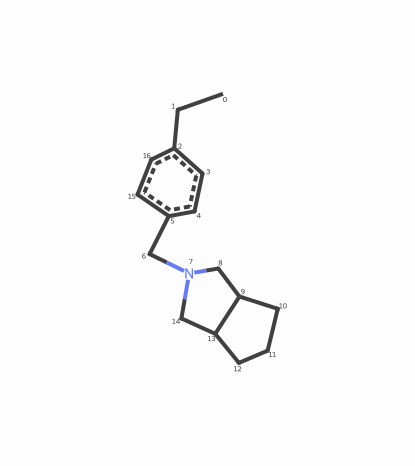 CCc1ccc(CN2CC3CCCC3C2)cc1